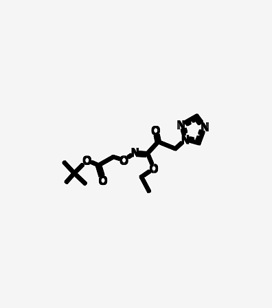 CCO/C(=N\OCC(=O)OC(C)(C)C)C(=O)Cn1cncn1